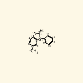 CCc1nc2ccc(C)cc2n1-c1ccccc1